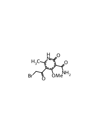 COc1c(C(=O)CBr)c(C)[nH]c(=O)c1C(N)=O